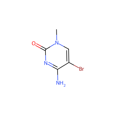 Cn1cc(Br)c(N)nc1=O